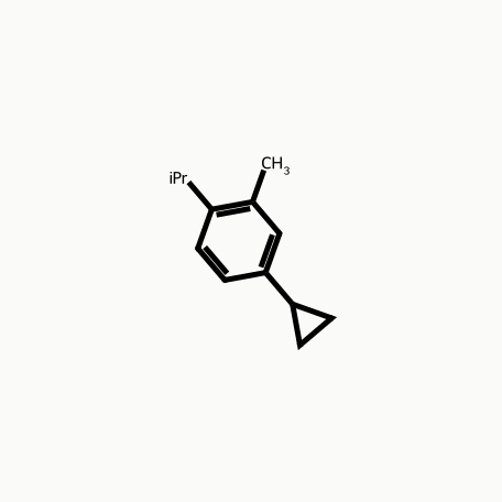 Cc1cc(C2CC2)ccc1C(C)C